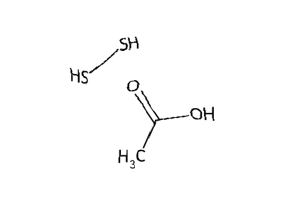 CC(=O)O.SS